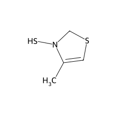 CC1=CSCN1S